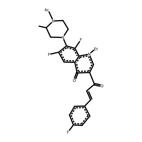 CCn1cc(C(=O)/C=C/c2ccc(F)cc2)c(=O)c2cc(F)c(N3CCN(C(C)=O)C(C)C3)c(F)c21